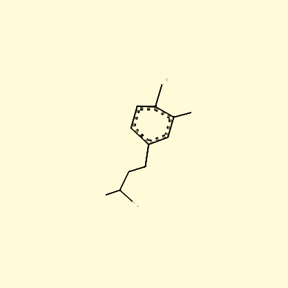 NC(CCc1ccc(O)c(O)c1)C(=O)O